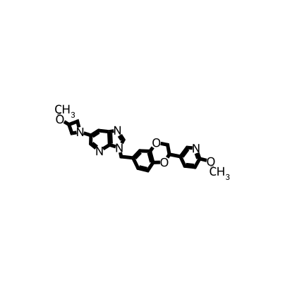 COc1ccc(C2COc3cc(Cn4cnc5cc(N6CC(OC)C6)cnc54)ccc3O2)cn1